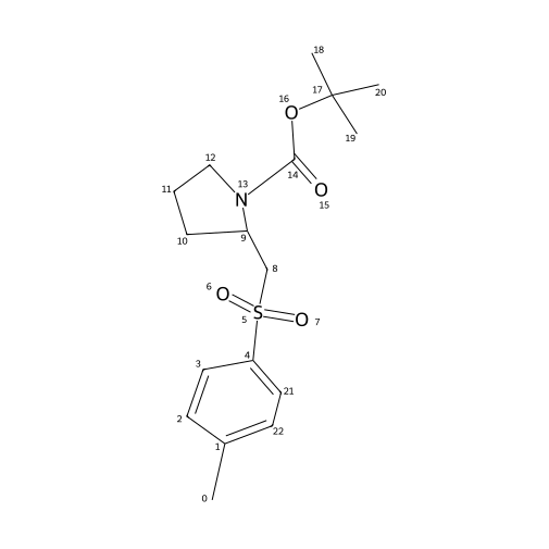 Cc1ccc(S(=O)(=O)CC2CCCN2C(=O)OC(C)(C)C)cc1